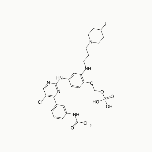 CC(=O)Nc1cccc(-c2nc(Nc3ccc(OCOP(=O)(O)O)c(NCCCN4CCC(I)CC4)c3)ncc2Cl)c1